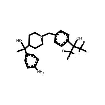 CC(O)(c1ccc(N)cc1)C1CCN(Cc2ccc(C(O)(C(F)(F)F)C(F)(F)F)cc2)CC1